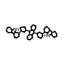 c1cc(-c2c3ccccc3c(-c3cccc(-c4cccc5c4[nH]c4ccccc45)c3)c3ccccc23)cc(-c2cccc3c2[nH]c2ccccc23)c1